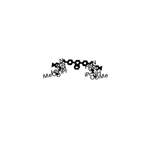 COC(=O)N[C@H](C(=O)N1CC2(CC2)C[C@H]1c1ncc(-c2ccc(-c3ccc(-c4ccc(-c5cnc([C@@H]6CC7(CC7)CN6C(=O)[C@@H](NC(=O)OC)C(C)C)[nH]5)cc4)c4c3C3CCC4CC3)cc2)[nH]1)C(C)C